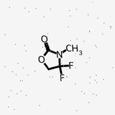 CN1C(=O)OCC1(F)F